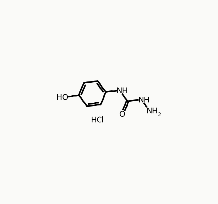 Cl.NNC(=O)Nc1ccc(O)cc1